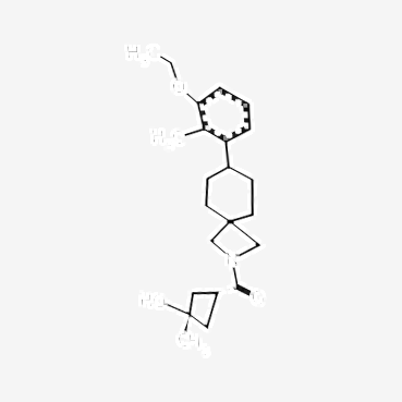 CCOc1cccc(C2CCC3(CC2)CN(C(=O)[C@H]2C[C@@](C)(O)C2)C3)c1C